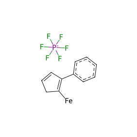 F[P-](F)(F)(F)(F)F.[Fe][C]1=C(c2ccccc2)C=CC1